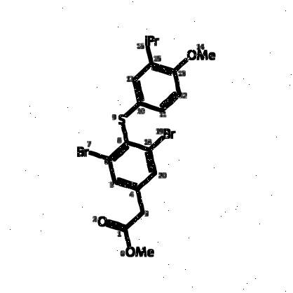 COC(=O)Cc1cc(Br)c(Sc2ccc(OC)c(C(C)C)c2)c(Br)c1